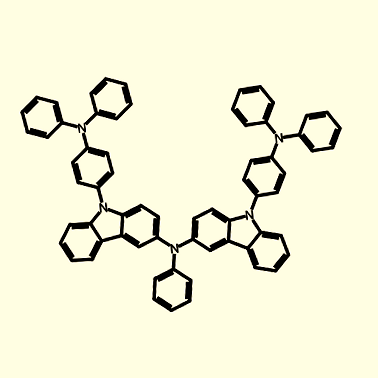 c1ccc(N(c2ccccc2)c2ccc(-n3c4ccccc4c4cc(N(c5ccccc5)c5ccc6c(c5)c5ccccc5n6-c5ccc(N(c6ccccc6)c6ccccc6)cc5)ccc43)cc2)cc1